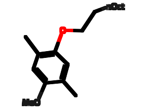 CCCCCCCCCCOc1cc(C)c(OC)cc1C